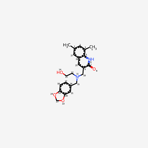 Cc1cc(C)c2[nH]c(=O)c(CN(CCO)Cc3ccc4c(c3)OCO4)cc2c1